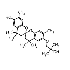 Cc1cc2c(cc1O)C(C)(C)CC1(CC(C)(C)c3cc(OCC(C)(C)O)c(C)cc3O1)O2